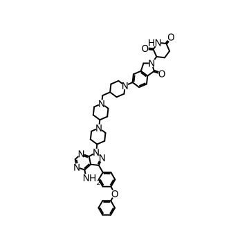 Nc1ncnc2c1c(-c1ccc(Oc3ccccc3)cc1)nn2C1CCN(C2CCN(CC3CCN(c4ccc5c(c4)CN(C4CCC(=O)NC4=O)C5=O)CC3)CC2)CC1